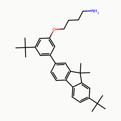 CC(C)(C)c1cc(OCCCCN)cc(-c2ccc3c(c2)C(C)(C)c2cc(C(C)(C)C)ccc2-3)c1